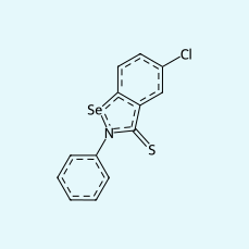 S=c1c2cc(Cl)ccc2[se]n1-c1ccccc1